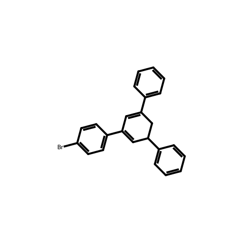 Brc1ccc(C2=CC(c3ccccc3)CC(c3ccccc3)=C2)cc1